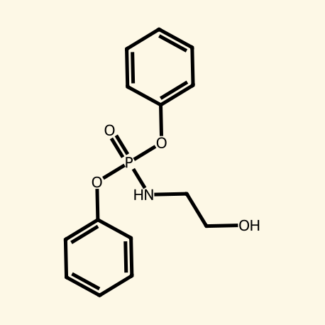 O=P(NCCO)(Oc1ccccc1)Oc1ccccc1